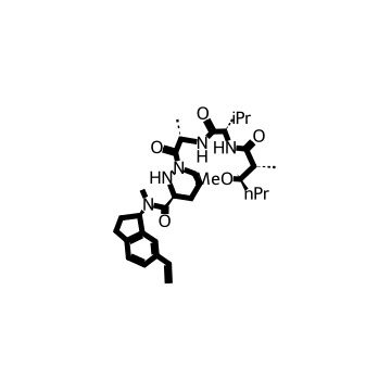 C=Cc1ccc2c(c1)[C@H](N(C)C(=O)[C@@H]1CCCN(C(=O)[C@H](C)NC(=O)[C@@H](NC(=O)[C@H](C)[C@@H](CCC)OC)C(C)C)N1)CC2